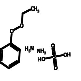 CCOOc1ccccc1.N.N.O=S(=O)(O)O